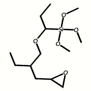 CCC(COC(CC)[Si](OC)(OC)OC)CC1CO1